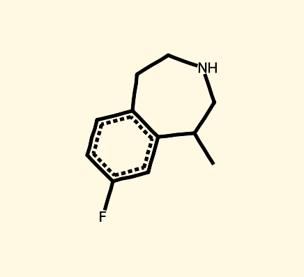 CC1CNCCc2ccc(F)cc21